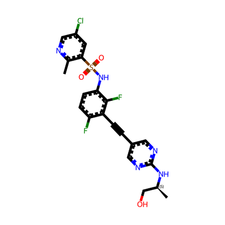 Cc1ncc(Cl)cc1S(=O)(=O)Nc1ccc(F)c(C#Cc2cnc(N[C@@H](C)CO)nc2)c1F